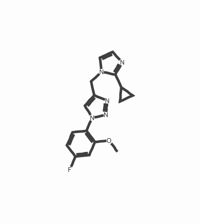 COc1cc(F)ccc1-n1cc(Cn2ccnc2C2CC2)nn1